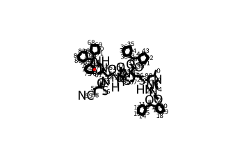 CC1=NC2=CN(C(=O)OC(c3ccccc3)c3ccccc3)NN2C(SCC2=C(C(=O)OC(c3ccccc3)c3ccccc3)N3C(=O)[C@@H](NC(=O)C(=NOC(=S)CCC#N)c4csc(NC(c5ccccc5)(c5ccccc5)c5ccccc5)n4)[C@H]3SC2)=C1